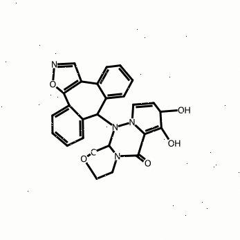 O=C1C2=C(O)C(O)C=CN2N(C2c3ccccc3-c3cnoc3-c3ccccc32)C2COCCN12